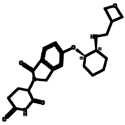 O=C1CCC(N2Cc3cc(O[C@H]4CCCC[C@@H]4NCC4COC4)ccc3C2=O)C(=O)N1